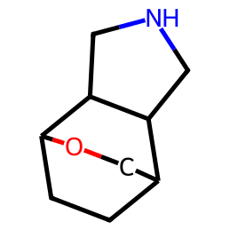 C1CC2OCC1C1CNCC21